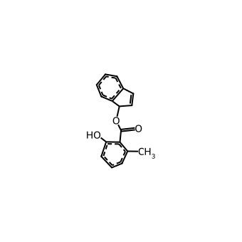 Cc1cccc(O)c1C(=O)OC1C=Cc2ccccc21